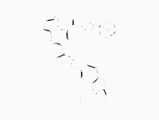 Cn1c(=O)oc2ccc(CNC(=O)c3cc(C(=O)NCC45CCC(CC4)CC5)n4nccc4n3)cc21